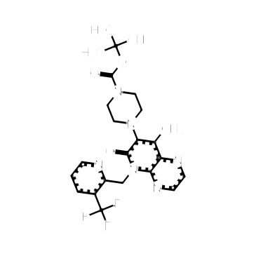 Cc1c(N2CCN(C(=O)OC(C)(C)C)CC2)c(=O)n(Cc2ncccc2C(F)(F)F)c2nccnc12